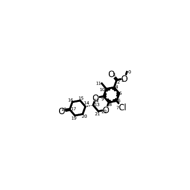 COC(=O)c1cc(Cl)c2c(c1C)O[C@@H](C1CCC(=O)CC1)CO2